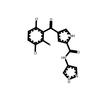 O=C(Nc1cn[nH]c1)c1cc(C(=O)c2c(Cl)ccc(Cl)c2F)c[nH]1